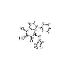 O=c1c2scc(-c3ccccc3)c2n(Cc2ccsc2)c(=O)n1O